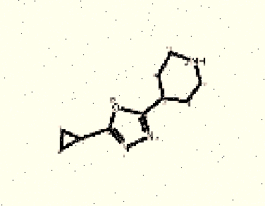 C1CC(c2nnc(C3CC3)o2)CCN1